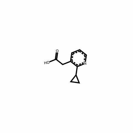 O=C(O)Cc1cccnc1C1CC1